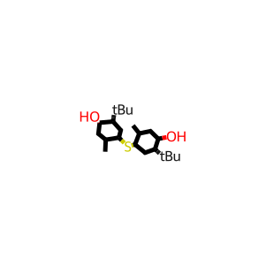 CC1CC(O)C(C(C)(C)C)CC1SC1CC(C(C)(C)C)C(O)CC1C